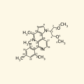 COCC(COC)n1ccc2c(C)nc3c(-c4c(C)cc(C)cc4C)nccc3c21